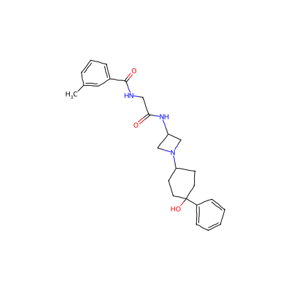 Cc1cccc(C(=O)NCC(=O)NC2CN(C3CCC(O)(c4ccccc4)CC3)C2)c1